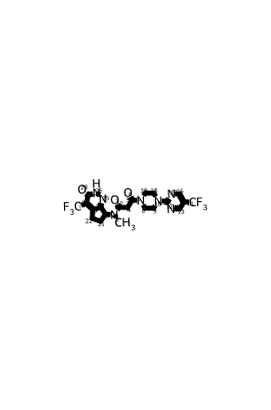 CN(C(=O)CC(=O)N1CCN(c2ncc(C(F)(F)F)cn2)CC1)C1CCc2c1n[nH]c(=O)c2C(F)(F)F